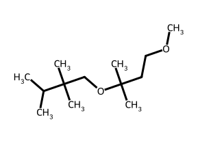 COCCC(C)(C)OCC(C)(C)C(C)C